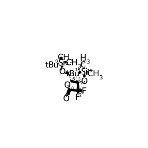 CC(C)(C)[Si](C)(C)OC[C@H]1OC(=O)C(F)(F)[C@H]1O[Si](C)(C)C(C)(C)C